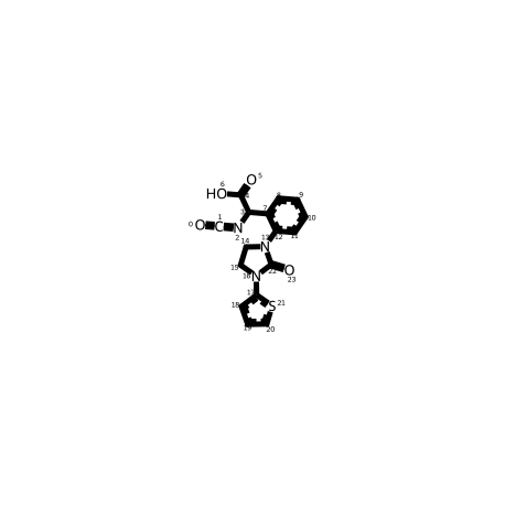 O=C=NC(C(=O)O)c1ccccc1N1CCN(c2cccs2)C1=O